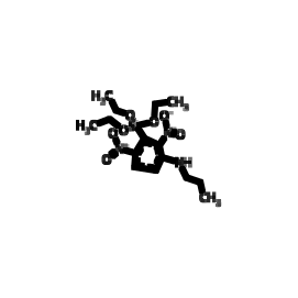 CCCNc1ccc([N+](=O)[O-])c([Si](OCC)(OCC)OCC)c1[N+](=O)[O-]